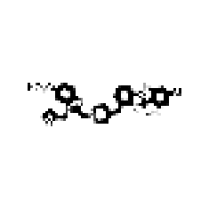 CC1(c2ccc(Cl)cc2F)Oc2cccc(CC3CCN(Cc4nc5ccc(C(=O)O)cc5n4CC4CCO4)CC3)c2O1